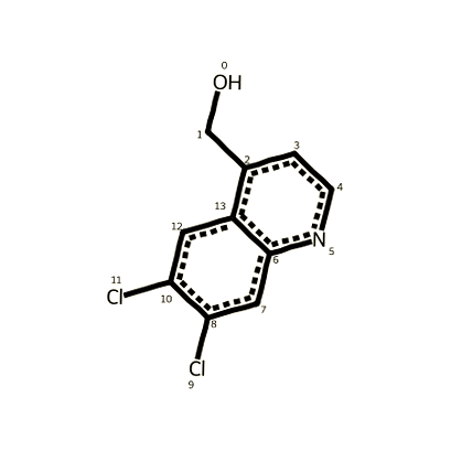 OCc1ccnc2cc(Cl)c(Cl)cc12